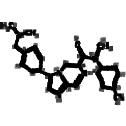 CN(C)Cc1ccc(-c2cnc3cnc(C(=O)N(C)c4ccc(C#N)cc4)cn23)cc1